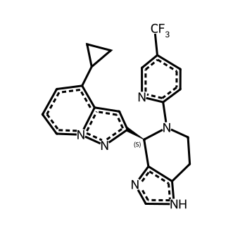 FC(F)(F)c1ccc(N2CCc3[nH]cnc3[C@H]2c2cc3c(C4CC4)cccn3n2)nc1